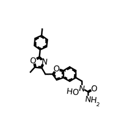 Cc1ccc(-c2nc(Cc3cc4cc(CN(O)C(N)=O)ccc4o3)c(C)o2)cc1